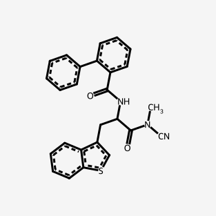 CN(C#N)C(=O)C(Cc1csc2ccccc12)NC(=O)c1ccccc1-c1ccccc1